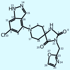 O=C1NC2(CCN(c3cc(Cl)cc4[nH]ncc34)CC2)C(=O)N1Cc1ncco1